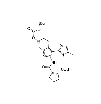 Cc1csc(-c2c(NC(=O)C3=C(C(=O)O)CCC3)sc3c2CCN(OC(=O)OC(C)(C)C)C3)n1